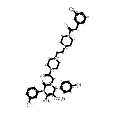 CCOC(=O)C1=C(C)N(c2cccc(C(F)(F)F)c2)C(=O)N(CC(=O)N2CCN(CCN3CCN(C(=O)Cc4cccc(C(F)(F)F)c4)CC3)CC2)[C@@H]1c1ccc(C#N)cc1